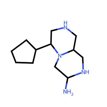 NC1CN2C(CNCC2C2CCCC2)CN1